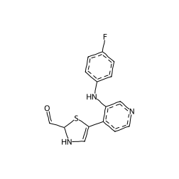 O=CC1NC=C(c2ccncc2Nc2ccc(F)cc2)S1